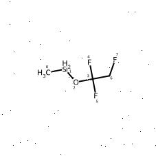 C[SiH2]OC(F)(F)CF